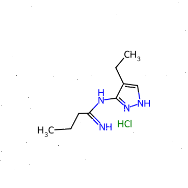 CCCC(=N)Nc1n[nH]cc1CC.Cl